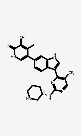 Cc1c(-c2ccc3c(-c4nc(N[C@H]5CCCNC5)ncc4C(F)(F)F)c[nH]c3c2)c[nH]c(=O)c1C#N